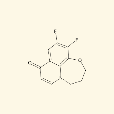 O=c1ccn2c3c(c(F)c(F)cc13)OCCC2